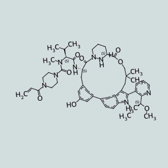 C=CC(=O)N1CCN(C(=O)N(C)[C@H](C(=O)N[C@H]2Cc3cc(O)cc(c3)-c3ccc4c(c3)c(c(-c3cccnc3[C@H](C)OC)n4CC)CC(C)(C)COC(=O)[C@@H]3CCCN(N3)C2=O)C(C)C)CC1